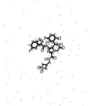 O=C1Cn2c(C(=O)NCC3CS(=O)(=O)C3)nc(NC(=O)c3nsc4ccc(F)cc34)c2C(c2cc(F)ccc2Cl)N1